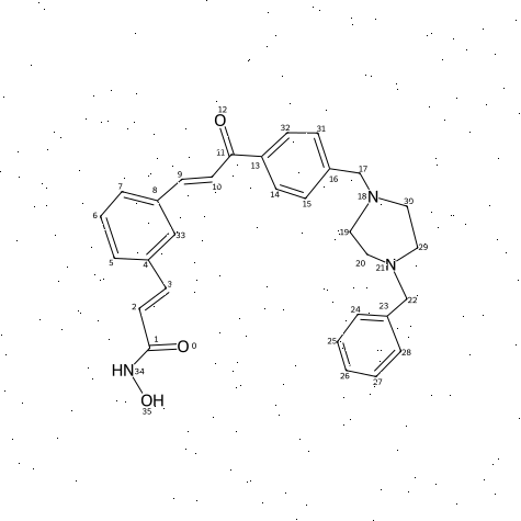 O=C(C=Cc1cccc(C=CC(=O)c2ccc(CN3CCN(Cc4ccccc4)CC3)cc2)c1)NO